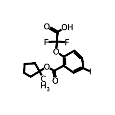 CC1(OC(=O)c2cc(I)ccc2OC(F)(F)C(=O)O)CCCC1